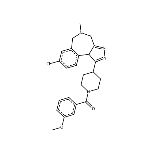 COc1cccc(C(=O)N2CCC(C3=NN=C4CN(C)Cc5cc(Cl)ccc5C43)CC2)c1